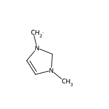 [CH2]N1C=CN(C)C1